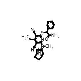 CCc1c(C#N)c(SC(C(N)=O)c2ccccc2)nc(N(C)C2CC3CCC(C2)N3)c1C#N